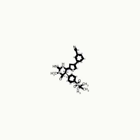 CN1C(=N)N/C(=C2\CC(c3cccc(C#N)c3)=CS2)[C@@H](c2ccc(S(=O)(=O)C(C)(C)C)cc2)C1=O